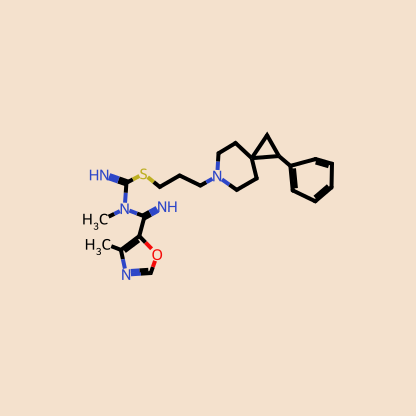 Cc1ncoc1C(=N)N(C)C(=N)SCCCN1CCC2(CC1)CC2c1ccccc1